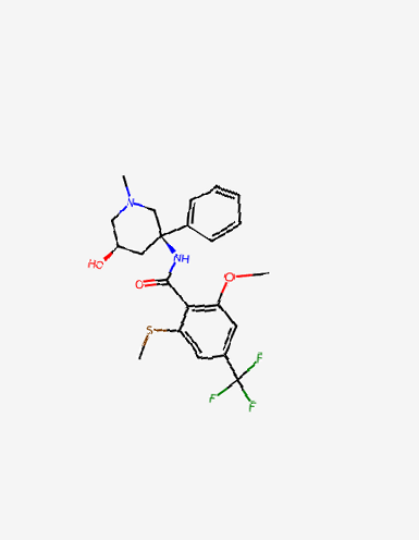 COc1cc(C(F)(F)F)cc(SC)c1C(=O)N[C@@]1(c2ccccc2)C[C@@H](O)CN(C)C1